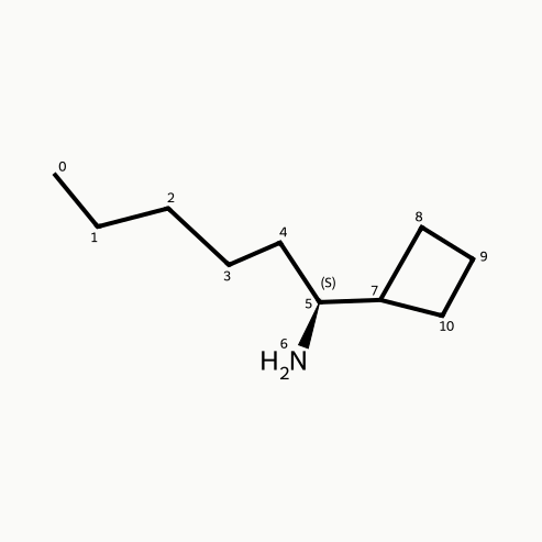 CCCCC[C@H](N)C1CCC1